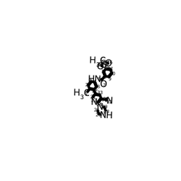 Cc1ccc(NC(=O)c2cccc(S(C)(=O)=O)c2)cc1-c1cnc(N2CCNCC2)c(C#N)c1